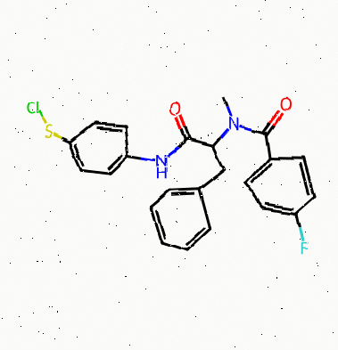 CN(C(=O)c1ccc(F)cc1)C(Cc1ccccc1)C(=O)Nc1ccc(SCl)cc1